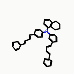 C(=Cc1cccc(N(c2ccc(/C=C/C=C/c3ccccc3)cc2)c2cccc3c2CCCC3)c1)/C=C/c1ccccc1